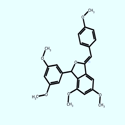 COc1ccc(/C=C2\OC(c3cc(OC)cc(OC)c3)c3c(OC)cc(OC)cc32)cc1